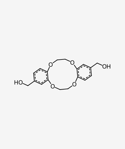 OCc1ccc2c(c1)OCCOc1ccc(CO)cc1OCCO2